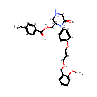 COc1ccccc1COCCCOc1ccc(N2C(=O)CNC[C@@H]2COC(=O)c2ccc(C)cc2)cc1